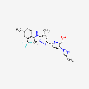 Cc1ccc([C@H](C)Nc2nnc(-c3ccc(-n4cnc(C)c4)c(CO)n3)cc2C)c(C(F)(F)F)c1